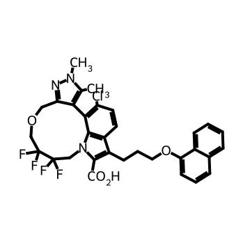 Cc1c2c(nn1C)COCC(F)(F)C(F)(F)Cn1c(C(=O)O)c(CCCOc3cccc4ccccc34)c3ccc(Cl)c-2c31